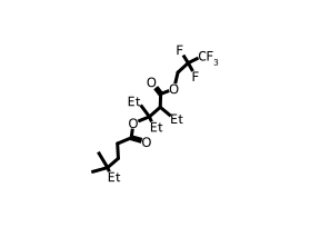 CCC(C(=O)OCC(F)(F)C(F)(F)F)C(CC)(CC)OC(=O)CCC(C)(C)CC